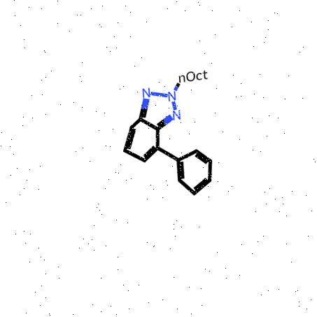 CCCCCCCCn1nc2cccc(-c3ccccc3)c2n1